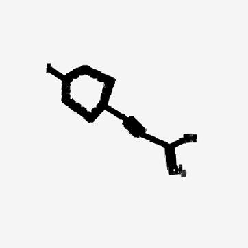 C=C(S)C#Cc1ccc(I)cc1